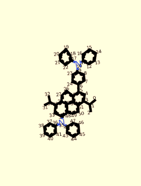 CC(C)c1cc(-c2ccc(N(c3ccccc3)c3ccccc3)cc2)c2ccc3c(C(C)C)cc(N(c4ccccc4)c4ccccc4)c4ccc1c2c34